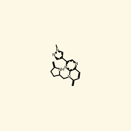 C=C1CCC(CN2C(=C)C=Cc3ncc(-c4cnn(C)c4)nc32)N1